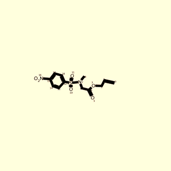 C=CCOC(=O)CN(C)S(=O)(=O)c1ccc([N+](=O)[O-])cc1